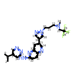 CC(C)c1cnnc(Nc2ccc3ncc(-c4cnn(CCCN(C)CC(F)(F)F)c4)cc3n2)c1